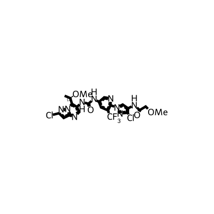 COCC(=O)Nc1cn(-c2ncc(NC(=O)Nc3cnc4cc(Cl)nn4c3[C@H](C)OC)cc2C(F)(F)F)nc1Cl